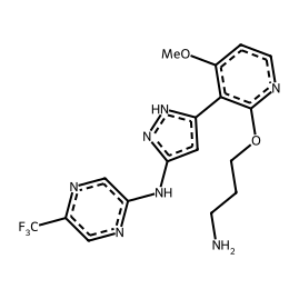 COc1ccnc(OCCCN)c1-c1cc(Nc2cnc(C(F)(F)F)cn2)n[nH]1